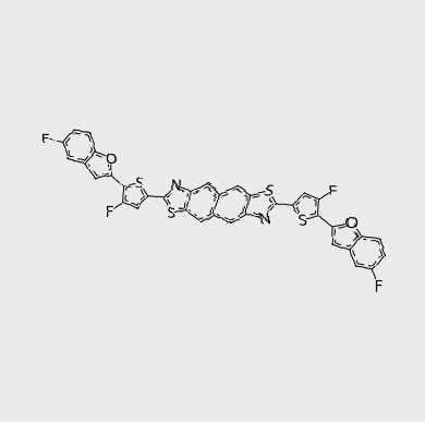 Fc1ccc2oc(-c3sc(-c4nc5cc6cc7sc(-c8cc(F)c(-c9cc%10cc(F)ccc%10o9)s8)nc7cc6cc5s4)cc3F)cc2c1